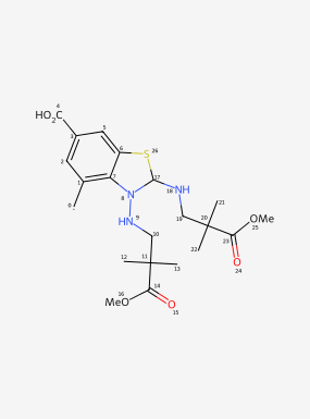 [CH2]c1cc(C(=O)O)cc2c1N(NCC(C)(C)C(=O)OC)C(NCC(C)(C)C(=O)OC)S2